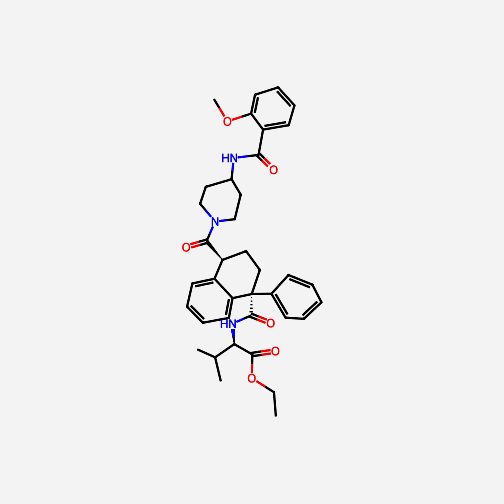 CCOC(=O)[C@H](NC(=O)[C@@]1(c2ccccc2)CC[C@H](C(=O)N2CCC(NC(=O)c3ccccc3OC)CC2)c2ccccc21)C(C)C